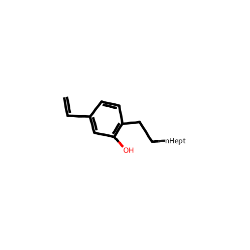 C=Cc1ccc(CCCCCCCCC)c(O)c1